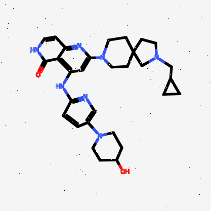 O=c1[nH]ccc2nc(N3CCC4(CCN(CC5CC5)C4)CC3)cc(Nc3ccc(N4CCC(O)CC4)cn3)c12